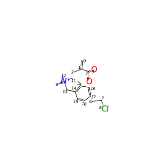 C=C(C)C(=O)[O-].CCCl.C[N+](C)(C)Cc1ccccc1